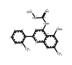 COc1cc(C)cc2nc(-c3ccccc3C)cc(NC(=N)NC=O)c12